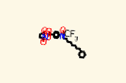 O=C(ON1C(=O)CCC1=O)c1ccc(N(CCCCCCCCC2CCCCC2)C(=O)C(F)(F)F)cc1